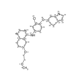 COCCOc1ccc2ncnc(Nc3ccc(Oc4ccc5ocnc5c4)c(Cl)c3)c2c1